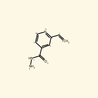 C=Cc1cc(C(=O)NN)ccn1